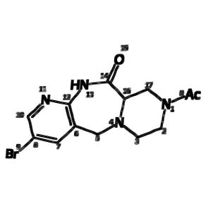 CC(=O)N1CCN2Cc3cc(Br)cnc3NC(=O)C2C1